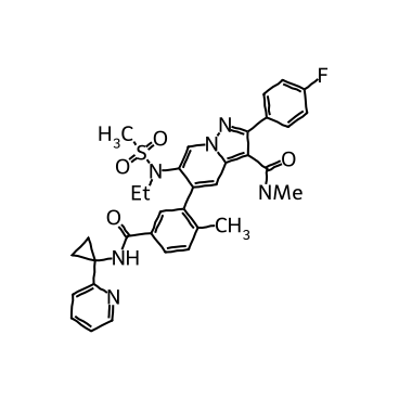 CCN(c1cn2nc(-c3ccc(F)cc3)c(C(=O)NC)c2cc1-c1cc(C(=O)NC2(c3ccccn3)CC2)ccc1C)S(C)(=O)=O